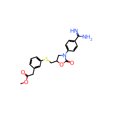 COC(=O)Cc1cccc(SCC2CN(c3ccc(C(=N)N)cc3)C(=O)O2)c1